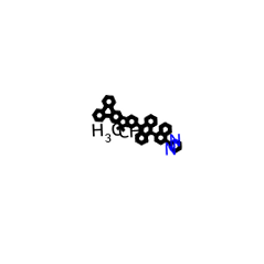 CC1(C)c2cc(-c3c4ccccc4c(-c4ccc(-c5ncccn5)c5ccccc45)c4ccccc34)ccc2-c2cc3c4ccccc4c4ccccc4c3cc21